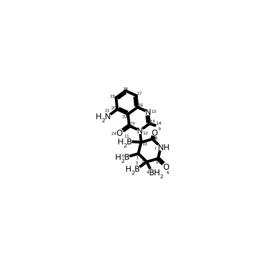 BC1C(B)(B)C(=O)NC(=O)C1(B)n1c(C)nc2cccc(N)c2c1=O